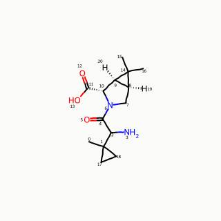 CC1(C(N)C(=O)N2C[C@H]3[C@@H]([C@H]2C(=O)O)C3(C)C)CC1